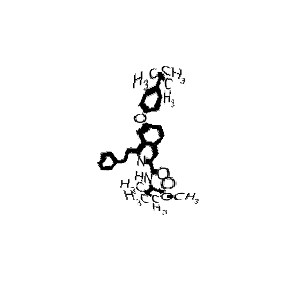 COC(=O)C(NC(=O)c1cc2ccc(Oc3ccc(C(C)(C)C)cc3)cc2c(CCc2ccccc2)n1)C(C)(C)C